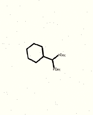 CCCCCCCCCCC(CCCCCCCCCC)C1CCCCC1